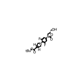 CC(C)(C)OC(=O)C1[C@H]2CN(c3c(F)cc(N4C[C@H](CO)OC4=O)cc3F)C[C@@H]12